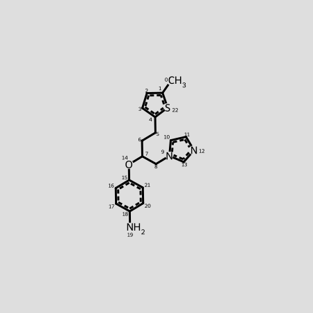 Cc1ccc(CCC(Cn2ccnc2)Oc2ccc(N)cc2)s1